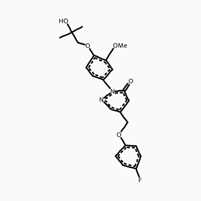 COc1cc(-n2ncc(COc3ccc(F)cc3)cc2=O)ccc1OCC(C)(C)O